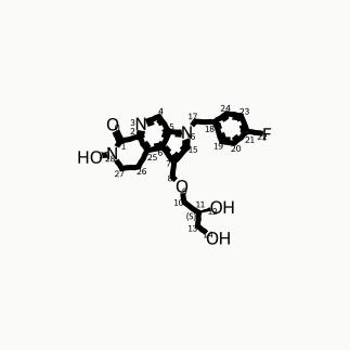 O=C1c2ncc3c(c(COC[C@@H](O)CO)cn3Cc3ccc(F)cc3)c2CCN1O